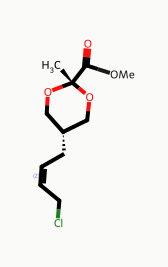 COC(=O)[C@]1(C)OC[C@H](C/C=C\CCl)CO1